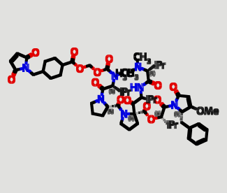 COC1=CC(=O)N(C(=O)[C@@H](OC(=O)[C@]2(C(=O)C(NC(=O)[C@H](C(C)C)N(C)C)C(C)C)CCCN2C(=O)[C@@H]2CCCN2C(=O)[C@H](C(C)C)N(C)C(=O)OCOC(=O)C2CCC(CN3C(=O)C=CC3=O)CC2)C(C)C)[C@H]1Cc1ccccc1